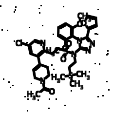 COc1cccc(OC)c1-n1c(-c2ccco2)nnc1N(CCS(C)(C)C)S(=O)(=O)CCc1ncc(Cl)cc1C1=CCN(C(C)=O)CC1